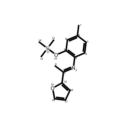 CC(=Nc1ccc(C)cc1O[Si](C)(C)C)c1ccco1